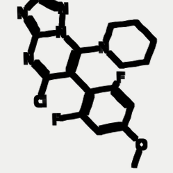 COc1cc(F)c(-c2c(Cl)nc3ncnn3c2N2CCCCC2)c(F)c1